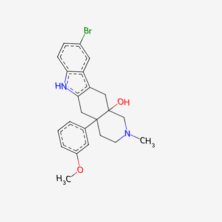 COc1cccc(C23CCN(C)CC2(O)Cc2c([nH]c4ccc(Br)cc24)C3)c1